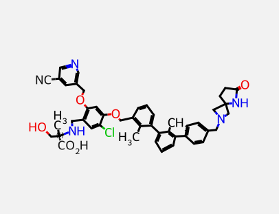 Cc1c(COc2cc(OCc3cncc(C#N)c3)c(CN[C@@](C)(CO)C(=O)O)cc2Cl)cccc1-c1cccc(-c2ccc(CN3CC4(CCC(=O)N4)C3)cc2)c1C